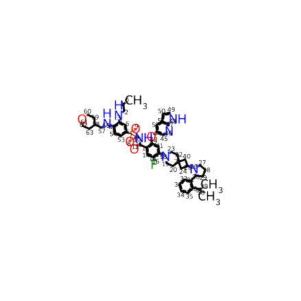 CCCNc1cc(S(=O)(=O)NC(=O)c2cc(F)c(N3CCC4(CC3)CC(N3CCCC3c3ccccc3C(C)C)C4)cc2Oc2cnc3[nH]ccc3c2)ccc1NCC1CCOCC1